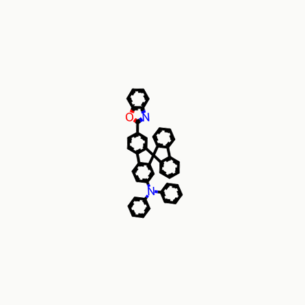 c1ccc(N(c2ccccc2)c2ccc3c(c2)C2(c4ccccc4-c4ccccc42)c2cc(-c4nc5ccccc5o4)ccc2-3)cc1